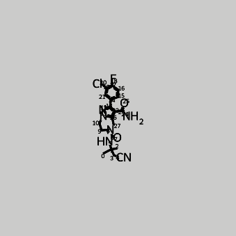 CC(C)(CC#N)NC(=O)N1CCn2nc(-c3ccc(F)c(Cl)c3)c(C(N)=O)c2C1